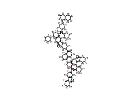 c1ccc(-c2ccc(N(c3ccc(-c4cccc5ccccc45)cc3)c3ccccc3-c3cccc4oc5cc(-c6cccc7c(-c8ccc(N(c9ccc%10c(c9)oc9ccccc9%10)c9ccccc9-c9cccc%10oc%11ccccc%11c9%10)cc8)cccc67)ccc5c34)cc2)cc1